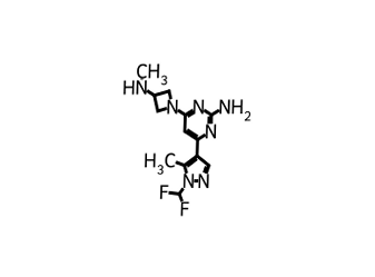 CNC1CN(c2cc(-c3cnn(C(F)F)c3C)nc(N)n2)C1